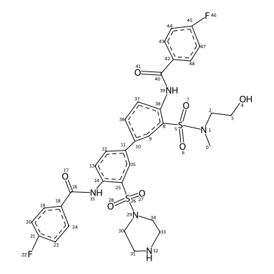 CN(CCO)S(=O)(=O)c1cc(-c2ccc(NC(=O)c3ccc(F)cc3)c(S(=O)(=O)N3CCNCC3)c2)ccc1NC(=O)c1ccc(F)cc1